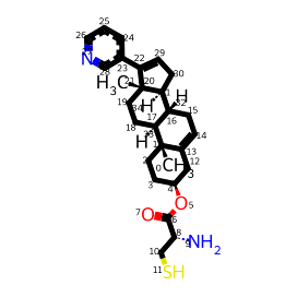 C[C@]12CC[C@H](OC(=O)[C@H](N)CS)CC1=CC[C@@H]1[C@@H]2CC[C@]2(C)C(c3cccnc3)=CC[C@@H]12